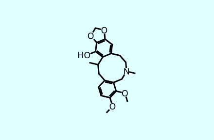 COc1ccc2c(c1OC)CN(C)CCc1cc3c(c(O)c1C(C)C2)OCO3